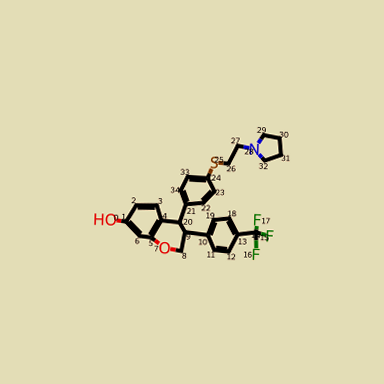 Oc1ccc2c(c1)OCC(c1ccc(C(F)(F)F)cc1)C2c1ccc(SCCN2CCCC2)cc1